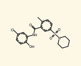 Cc1ccc(S(=O)(=O)N2CCCCC2)cc1C(=O)Nc1cc(Cl)ccc1O